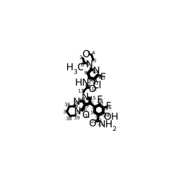 C[C@H]1COCCN1c1cc(NC(=O)Cn2cc(-c3cc(C(N)=O)c(O)c(F)c3F)c3c(=O)n4c(nc32)CCCC4)c(Cl)c(F)n1